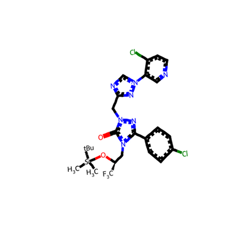 CC(C)(C)[Si](C)(C)O[C@@H](Cn1c(-c2ccc(Cl)cc2)nn(Cc2ncn(-c3cnccc3Cl)n2)c1=O)C(F)(F)F